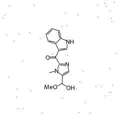 COC(O)c1cnc(C(=O)c2c[nH]c3ccccc23)n1C